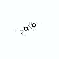 COc1cc(N=Nc2c(Cl)cc([N+](=O)[O-])cc2[N+](=O)[O-])c(NC(C)=O)cc1N(CCO)CCC#N